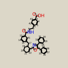 O=C(O)c1ccc(CCNC(=O)c2cccc(CC3CCCC=C3c3nc(-c4ccccc4)c(-c4ccccc4)o3)c2)cc1